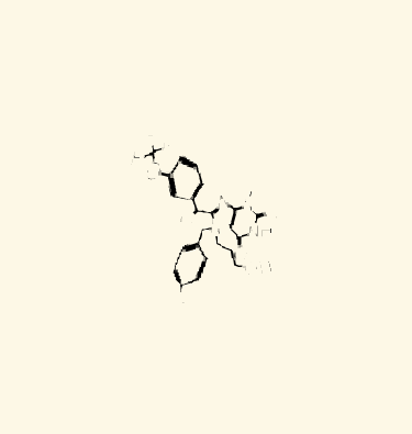 Cn1c2c(c(=O)[nH]c1=O)[N+](CCCO)(Cc1ccc(Cl)cc1)C(C(=O)c1cccc(OC(F)(F)F)c1)=N2